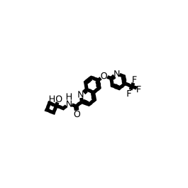 O=C(NCC1(O)CCC1)c1ccc2cc(Oc3ccc(C(F)(F)F)cn3)ccc2n1